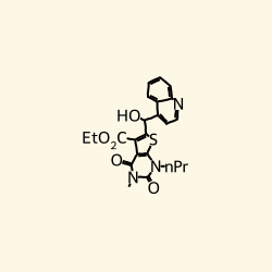 CCCn1c(=O)n(C)c(=O)c2c(C(=O)OCC)c(C(O)c3ccnc4ccccc34)sc21